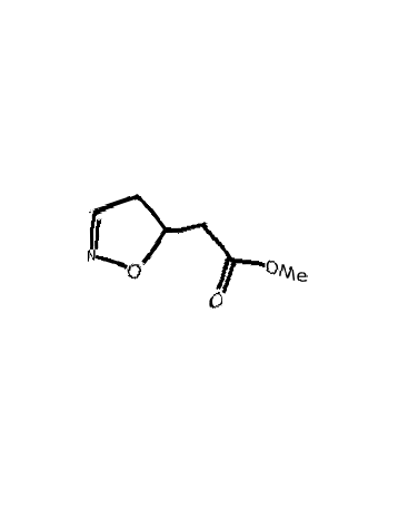 COC(=O)CC1C[C]=NO1